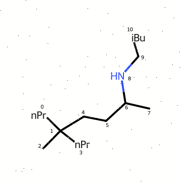 CCCC(C)(CCC)CCC(C)NCC(C)CC